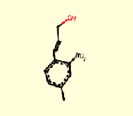 Cc1ccc(C=CCO)c([N+](=O)[O-])c1